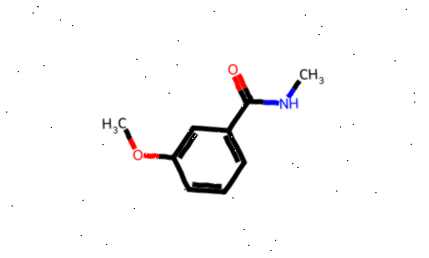 CNC(=O)c1cc[c]c(OC)c1